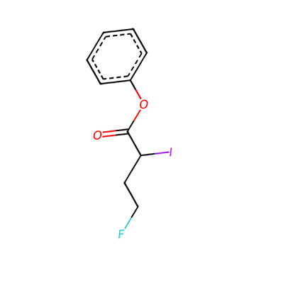 O=C(Oc1ccccc1)C(I)CCF